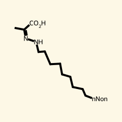 CCCCCCCCCCCCCCCCCCN/N=C(/C)C(=O)O